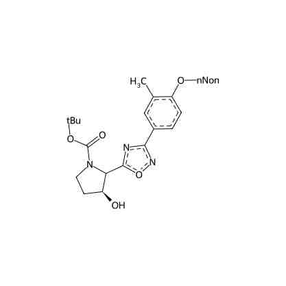 CCCCCCCCCOc1ccc(-c2noc(C3[C@@H](O)CCN3C(=O)OC(C)(C)C)n2)cc1C